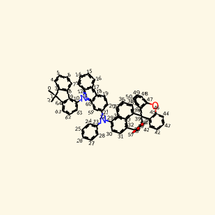 CC1(C)c2ccccc2-c2c(-n3c4ccccc4c4ccc(N(c5ccccc5)c5ccc6c7c(cccc57)C5(c7ccccc7Oc7ccccc75)c5ccccc5-6)cc43)cccc21